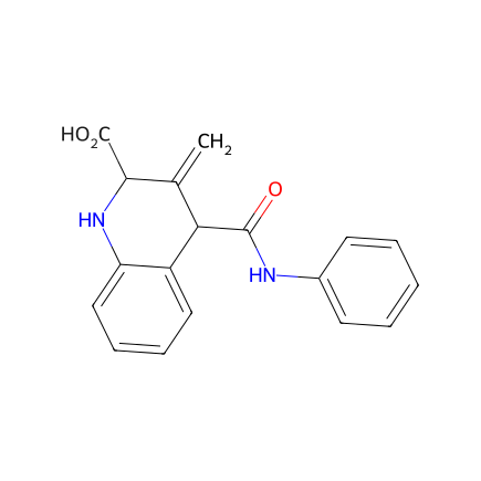 C=C1C(C(=O)O)Nc2ccccc2C1C(=O)Nc1ccccc1